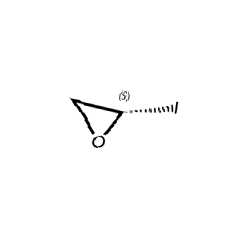 I[C@H]1CO1